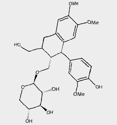 COc1cc(C2c3cc(OC)c(OC)cc3CC(CO)[C@H]2CO[C@@H]2OC[C@@H](O)[C@H](O)[C@H]2O)ccc1O